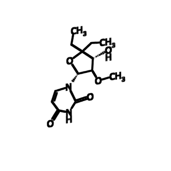 CCC1(CC)O[C@@H](n2ccc(=O)[nH]c2=O)C(OC)[C@H]1O